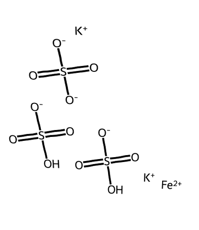 O=S(=O)([O-])O.O=S(=O)([O-])O.O=S(=O)([O-])[O-].[Fe+2].[K+].[K+]